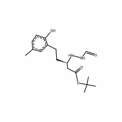 Cc1ccc(O)c(CC[C@H](CC(=O)OC(C)(C)C)NBC=O)c1